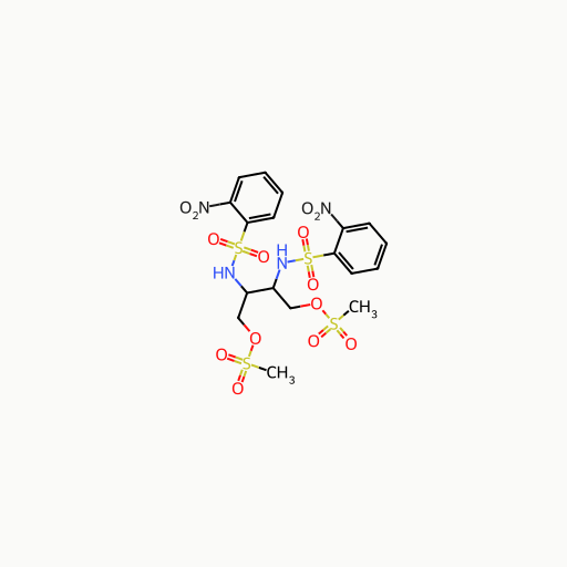 CS(=O)(=O)OCC(NS(=O)(=O)c1ccccc1[N+](=O)[O-])C(COS(C)(=O)=O)NS(=O)(=O)c1ccccc1[N+](=O)[O-]